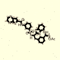 CC(=O)O/N=C(/N)c1cccc(CC(NS(=O)(=O)c2cccc(NC(=O)c3cc4nccnc4s3)c2)c2nc3ccccc3s2)c1